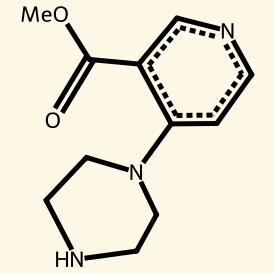 COC(=O)c1cnccc1N1CCNCC1